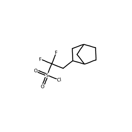 O=S(=O)(Cl)C(F)(F)CC1CC2CCC1C2